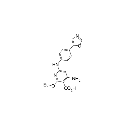 CCOc1nc(Nc2ccc(-c3cnco3)cc2)cc(N)c1C(=O)O